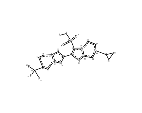 CCS(=O)(=O)c1c(-c2nc3ccc(C(F)(F)F)cn3n2)nc2cc(C3CC3)ccn12